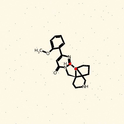 COc1ccccc1-c1cc(=O)n(C[C@]2(OC)CCNCC23CCCC3)cn1